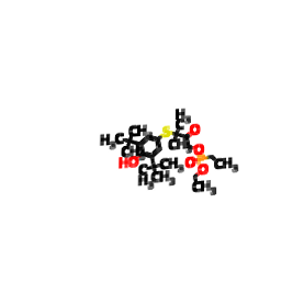 CCOP(=O)(CC)OCC(=O)C(C)(C)Sc1cc(C(C)(C)C)c(O)c(C(C)(C)C)c1